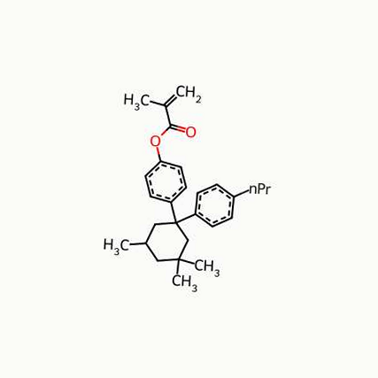 C=C(C)C(=O)Oc1ccc(C2(c3ccc(CCC)cc3)CC(C)CC(C)(C)C2)cc1